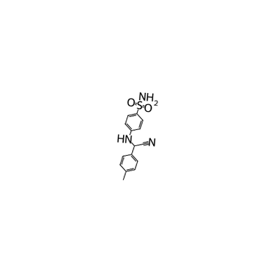 Cc1ccc(C(C#N)Nc2ccc(S(N)(=O)=O)cc2)cc1